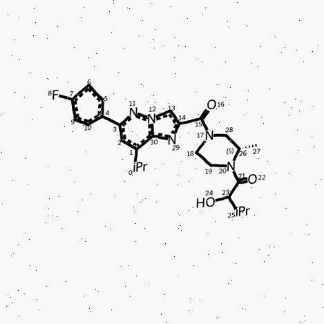 CC(C)c1cc(-c2ccc(F)cc2)nn2cc(C(=O)N3CCN(C(=O)C(O)C(C)C)[C@@H](C)C3)nc12